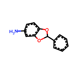 Nc1ccc2c(c1)OC(c1ccccc1)O2